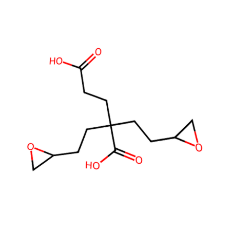 O=C(O)CCC(CCC1CO1)(CCC1CO1)C(=O)O